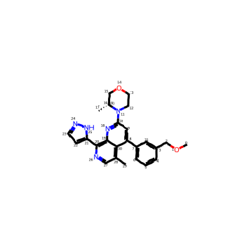 COCc1cccc(-c2cc(N3CCOC[C@H]3C)nc3c(-c4ccn[nH]4)ncc(C)c23)c1